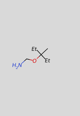 CCC(C)(CC)OCN